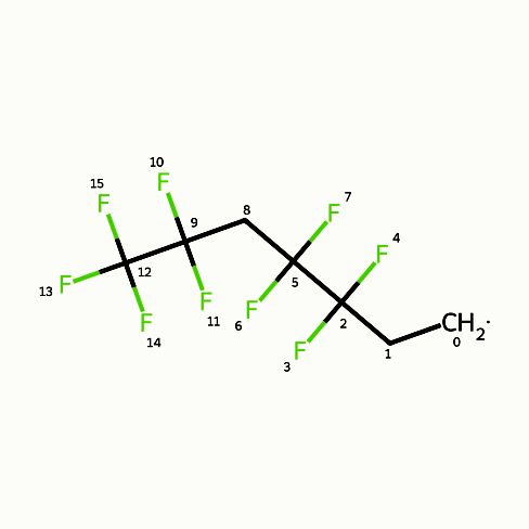 [CH2]CC(F)(F)C(F)(F)CC(F)(F)C(F)(F)F